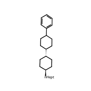 CCCCCCC[C@H]1CC[C@H](C2CCC(c3ccccc3)CC2)CC1